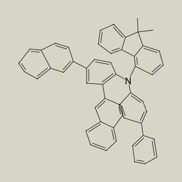 CC1(C)c2ccccc2-c2c(N(c3ccc(-c4ccccc4)cc3)c3ccc(-c4ccc5ccccc5c4)cc3-c3ccc4ccccc4c3)cccc21